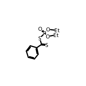 CCOP(=O)(OCC)SC(=S)c1ccccc1